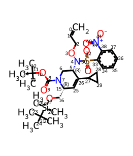 C=CCON([C@H]1CN(C(=O)OC(C)(C)C)[C@@H](CO[Si](C)(C)C(C)(C)C)C=C1C1CC1)S(=O)(=O)c1ccccc1[N+](=O)[O-]